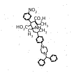 CC1=C(C(=O)O)C(c2cccc([N+](=O)[O-])c2)C(C(=O)O)C(C)(CC(C)c2ccc(N3CCN(C(c4ccccc4)c4ccccc4)CC3)cc2)N1